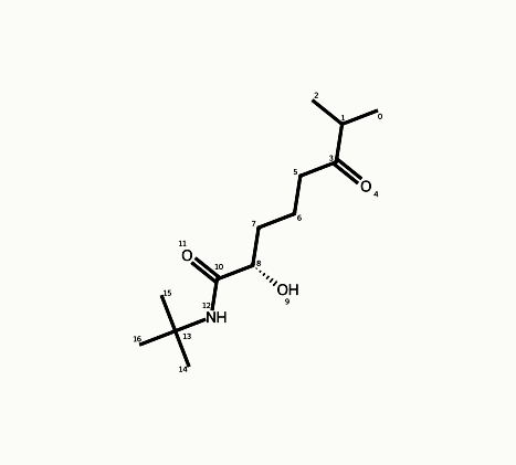 CC(C)C(=O)CCC[C@H](O)C(=O)NC(C)(C)C